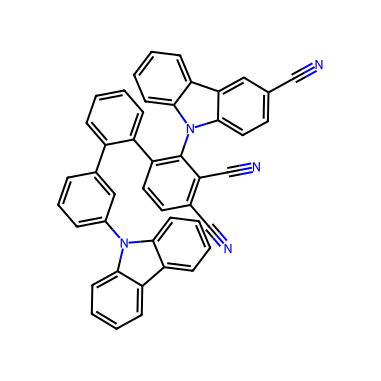 N#Cc1ccc2c(c1)c1ccccc1n2-c1c(-c2ccccc2-c2cccc(-n3c4ccccc4c4ccccc43)c2)ccc(C#N)c1C#N